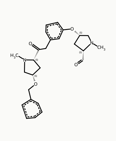 CN1C[C@@H](Oc2cccc(CC(=O)[C@@H]3C[C@H](OCc4ccccc4)CN3C)c2)C[C@H]1C=O